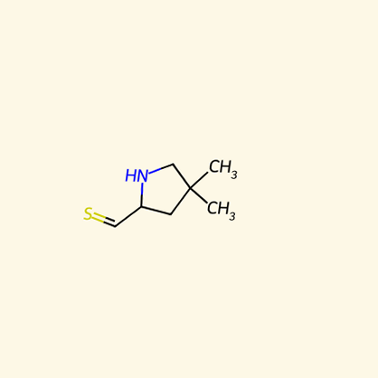 CC1(C)CNC(C=S)C1